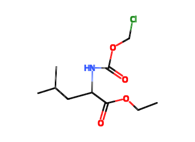 CCOC(=O)C(CC(C)C)NC(=O)OCCl